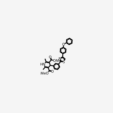 COC(=O)C1=C(C)NC(C)=C(C(=O)OC)C1c1cccc(-c2nc(-c3ccc(Oc4ccccc4)cc3)cs2)c1